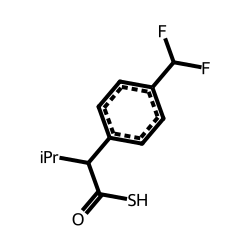 CC(C)C(C(=O)S)c1ccc(C(F)F)cc1